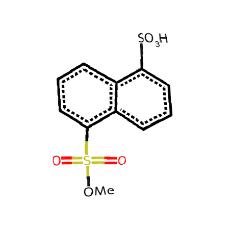 COS(=O)(=O)c1cccc2c(S(=O)(=O)O)cccc12